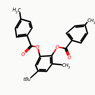 Cc1ccc(C(=O)Oc2cc(C(C)(C)C)cc(C)c2OC(=O)c2ccc(C)cc2)cc1